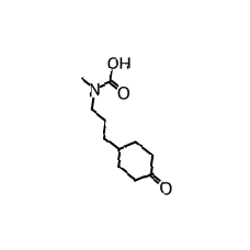 CN(CCCC1CCC(=O)CC1)C(=O)O